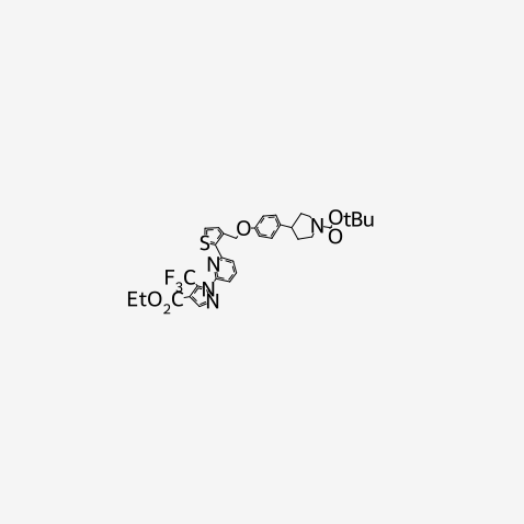 CCOC(=O)c1cnn(-c2cccc(-c3sccc3COc3ccc(C4CCN(C(=O)OC(C)(C)C)CC4)cc3)n2)c1C(F)(F)F